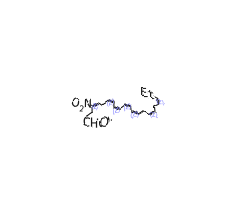 CC/C=C\C/C=C\C\C=C/C=C\C=C/C=C\C/C=C(\CC[C]=O)[N+](=O)[O-]